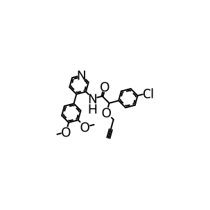 C#CCOC(C(=O)Nc1cnccc1-c1ccc(OC)c(OC)c1)c1ccc(Cl)cc1